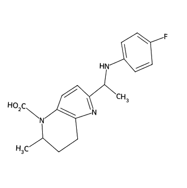 CC(Nc1ccc(F)cc1)c1ccc2c(n1)CCC(C)N2C(=O)O